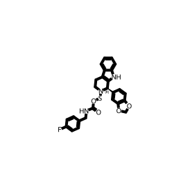 O=C(NCc1ccc(F)cc1)OSN1CCc2c([nH]c3ccccc23)[C@H]1c1ccc2c(c1)OCO2